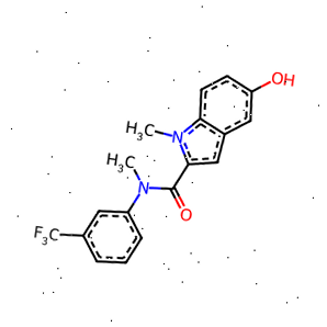 CN(C(=O)c1cc2cc(O)ccc2n1C)c1cccc(C(F)(F)F)c1